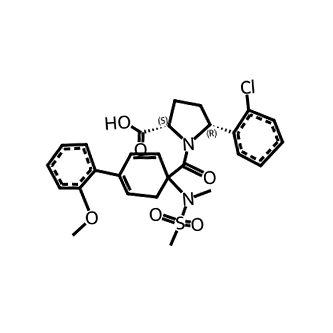 COc1ccccc1C1=CCC(C(=O)N2[C@@H](c3ccccc3Cl)CC[C@H]2C(=O)O)(N(C)S(C)(=O)=O)C=C1